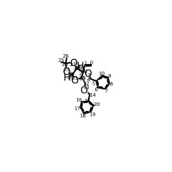 C=C[C@@]1(OCc2ccccc2)[C@@H](COCc2ccccc2)O[C@@H]2OC(C)(C)O[C@@H]21